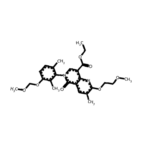 CCOC(=O)c1cn(-c2c(C)ccc(OCOC)c2C)c(=O)c2cc(C)c(OCCOC)nc12